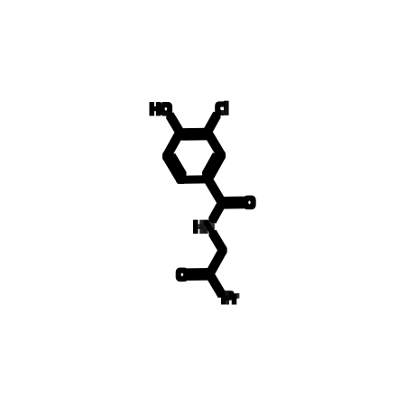 CC(C)C(=O)CNC(=O)c1ccc(O)c(Cl)c1